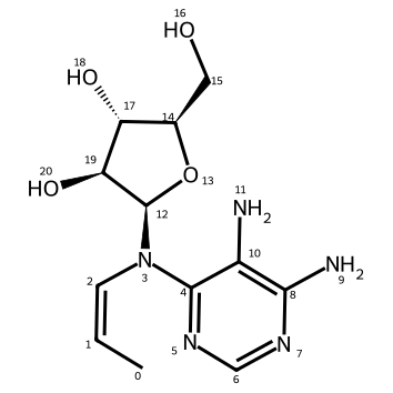 C/C=C\N(c1ncnc(N)c1N)[C@@H]1O[C@H](CO)[C@@H](O)[C@@H]1O